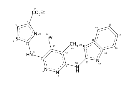 CCOC(=O)c1csc(Nc2nnc(Nc3nc4ccccc4s3)c(C)c2C(C)C)n1